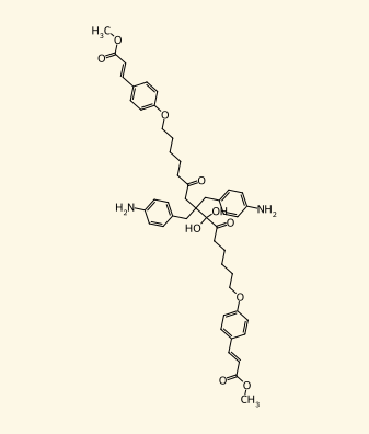 COC(=O)/C=C/c1ccc(OCCCCCC(=O)CC(Cc2ccc(N)cc2)(Cc2ccc(N)cc2)C(O)(O)C(=O)CCCCCOc2ccc(/C=C/C(=O)OC)cc2)cc1